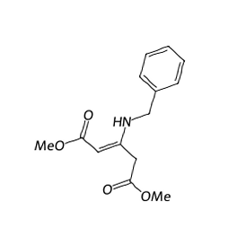 COC(=O)/C=C(/CC(=O)OC)NCc1ccccc1